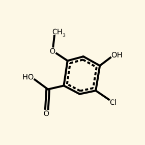 COc1cc(O)c(Cl)cc1C(=O)O